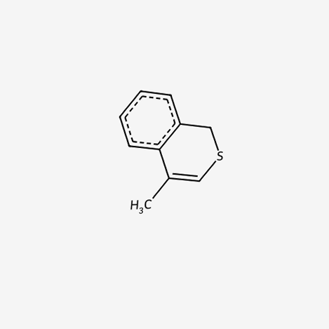 CC1=CSCc2ccccc21